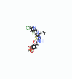 CC(C)C1c2nc(NC(=O)Cc3ccc(S(C)(=O)=O)cc3)sc2CN1Cc1ncc(Cl)cc1F